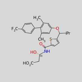 Cc1cc(OC(c2ccc(C(=O)N[C@@H](O)CC(=O)O)s2)C(C)C)cc(C)c1-c1ccc(C(F)(F)F)cc1